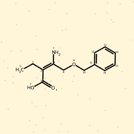 CCC(C(=O)O)=C(N)COCc1ccccc1